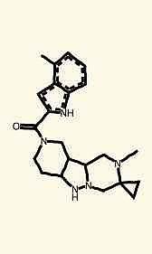 Cc1cccc2[nH]c(C(=O)N3CCC4NN5CC6(CC6)N(C)CC5C4C3)cc12